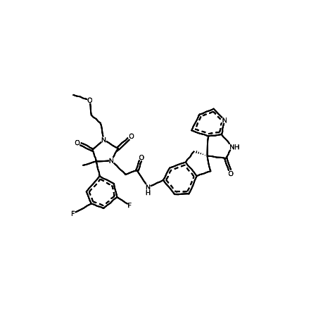 COCCN1C(=O)N(CC(=O)Nc2ccc3c(c2)C[C@@]2(C3)C(=O)Nc3ncccc32)C(C)(c2cc(F)cc(F)c2)C1=O